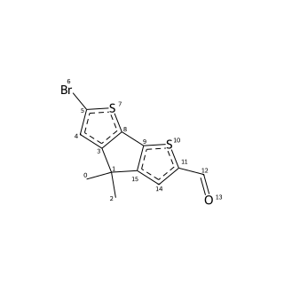 CC1(C)c2cc(Br)sc2-c2sc(C=O)cc21